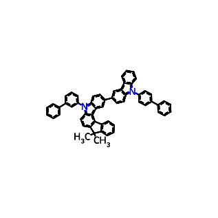 CC1(C)c2ccccc2-c2c1ccc1c2c2cc(-c3ccc4c(c3)c3ccccc3n4-c3ccc(-c4ccccc4)cc3)ccc2n1-c1cccc(-c2ccccc2)c1